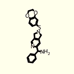 NC(c1ccccc1)c1cc2c(cn1)CN(Sc1ccc3c(c1)OCCO3)C2